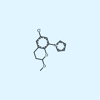 COC1CCc2cc(Cl)cc(-n3cccc3)c2O1